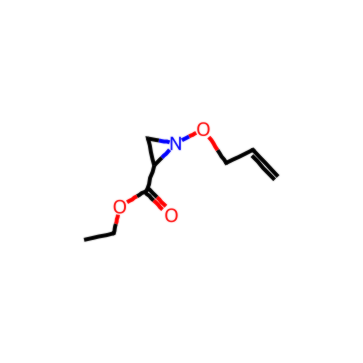 C=CCON1CC1C(=O)OCC